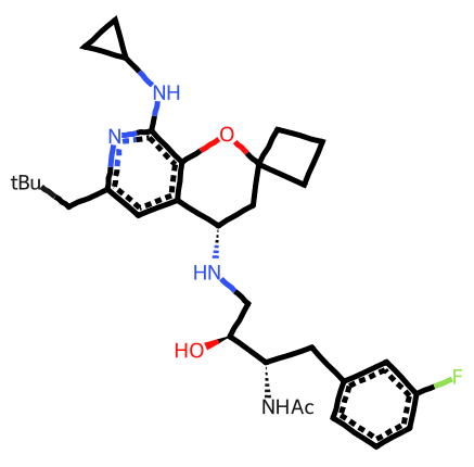 CC(=O)N[C@@H](Cc1cccc(F)c1)[C@@H](O)CN[C@H]1CC2(CCC2)Oc2c1cc(CC(C)(C)C)nc2NC1CC1